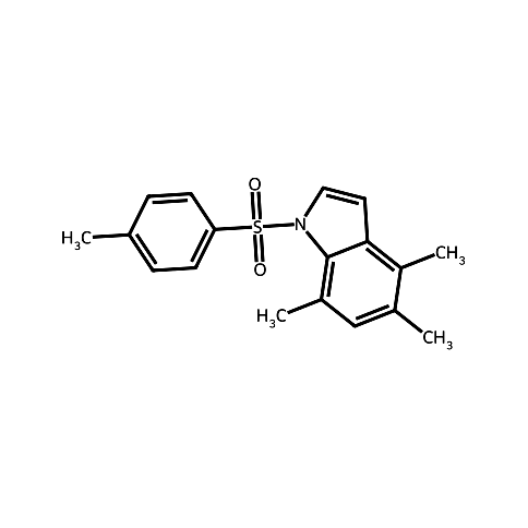 Cc1ccc(S(=O)(=O)n2ccc3c(C)c(C)cc(C)c32)cc1